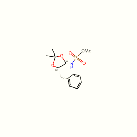 COS(=O)(=O)N[C@H]1OC(C)(C)O[C@H]1Cc1ccccc1